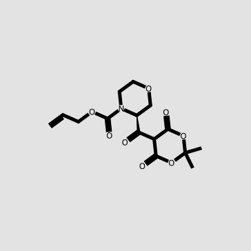 C=CCOC(=O)N1CCOC[C@H]1C(=O)C1C(=O)OC(C)(C)OC1=O